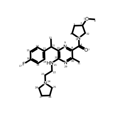 COC1CCN(C(=O)c2nc(C(C)c3ccc(F)cc3)c(NCCN3CCCC3)nc2C)C1